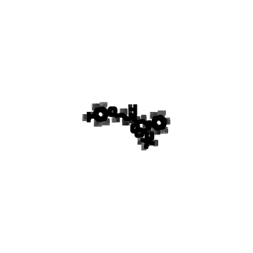 CC(C)(C)OC(=O)N(CC(=O)NCCCOc1ccc(I)cc1)c1ccccc1